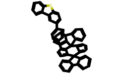 c1ccc2c(c1)-c1ccccc1C21c2ccccc2C2(c3ccccc3-c3ccccc32)c2c(-c3ccc(-c4ccc5sc6ccccc6c5c4)cc3)cccc21